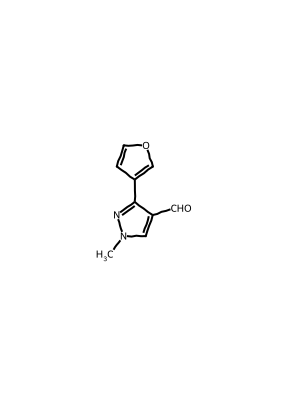 Cn1cc(C=O)c(-c2ccoc2)n1